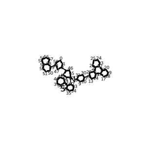 c1cc(-c2ccc(N(c3ccc(-c4ccc5c6ccccc6c6ccccc6c5c4)cc3)c3cccc4sc5ccccc5c34)cc2)cc(-c2cccc3ccccc23)c1